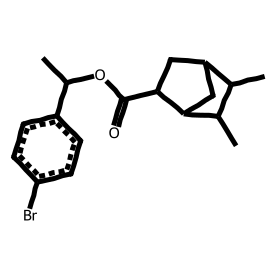 CC(OC(=O)C1CC2CC1C(C)C2C)c1ccc(Br)cc1